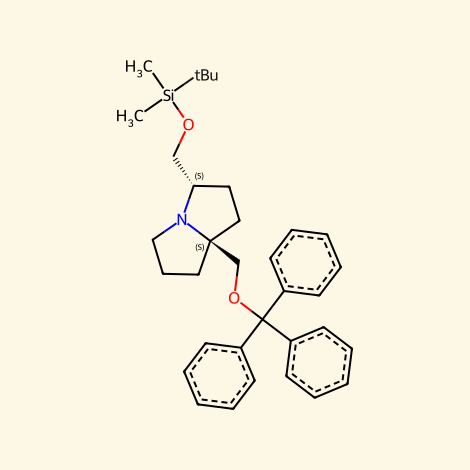 CC(C)(C)[Si](C)(C)OC[C@@H]1CC[C@]2(COC(c3ccccc3)(c3ccccc3)c3ccccc3)CCCN12